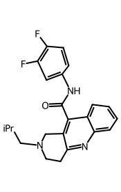 CC(C)CN1CCc2nc3ccccc3c(C(=O)Nc3ccc(F)c(F)c3)c2C1